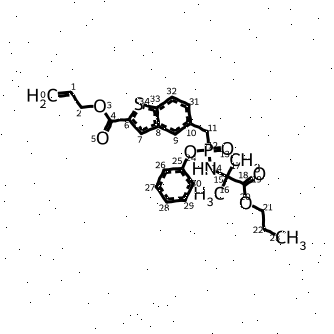 C=CCOC(=O)c1cc2cc(CP(=O)(NC(C)(C)C(=O)OCCC)Oc3ccccc3)ccc2s1